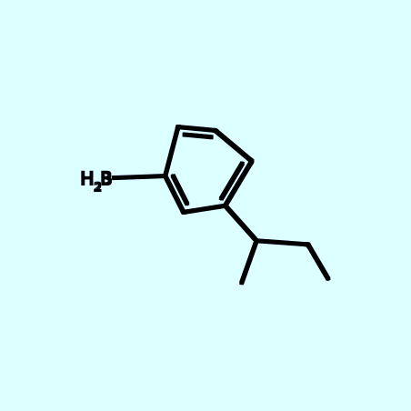 Bc1cccc(C(C)CC)c1